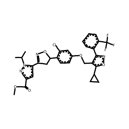 COC(=O)c1cc(C2=NOC(c3ccc(OCc4c(-c5ccccc5C(F)(F)F)noc4C4CC4)cc3Cl)C2)n(C(C)C)n1